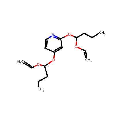 C=COC(CCC)Oc1ccnc(OC(CCC)OC=C)c1